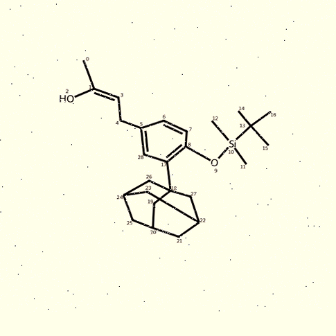 CC(O)=CCc1ccc(O[Si](C)(C)C(C)(C)C)c(C23CC4CC(CC(C4)C2)C3)c1